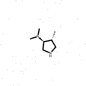 CN(C)[C@@H]1CNC[C@H]1F